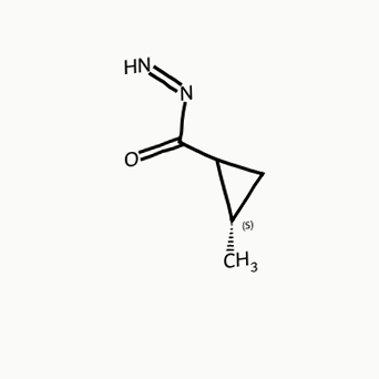 C[C@H]1CC1C(=O)N=N